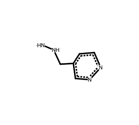 [NH]NCc1ccnnc1